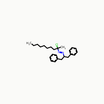 CCCCCCCCC(C)(Cl)N=NC(Cc1ccccc1)Cc1ccccc1